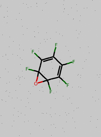 FC1=C(F)C2(F)OC2(F)C(F)=C1F